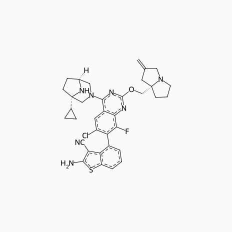 C=C1CN2CCC[C@@]2(COc2nc(N3C[C@@H]4CC[C@](C5CC5)(C3)N4)c3cc(Cl)c(-c4cccc5sc(N)c(C#N)c45)c(F)c3n2)C1